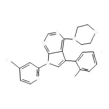 C[C@@H]1CN(c2ncnc3c2c(-c2ccccc2F)cn3-c2cc(C#N)ccn2)CCN1